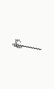 CCCCCCCCCCCCCCC=CCC1=NC(CC)(NCCN)CN1